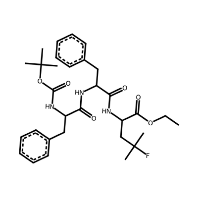 CCOC(=O)C(CC(C)(C)F)NC(=O)C(Cc1ccccc1)NC(=O)C(Cc1ccccc1)NC(=O)OC(C)(C)C